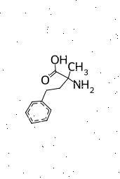 CC(N)(CCc1ccccc1)C(=O)O